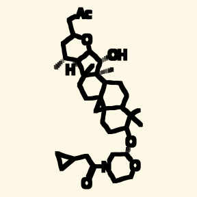 CC(=O)CC1C[C@@H](C)[C@H]2C(O1)[C@H](O)[C@@]1(C)C3CCC4C(C)(C)C(O[C@H]5CN(C(=O)CC6CC6)CCO5)CCC45CC35CCC21C